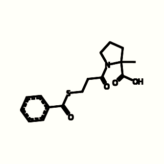 CC1(C(=O)O)CCCN1C(=O)CCSC(=O)c1ccccc1